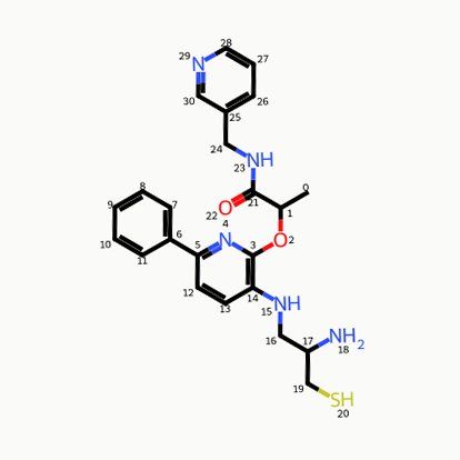 CC(Oc1nc(-c2ccccc2)ccc1NCC(N)CS)C(=O)NCc1cccnc1